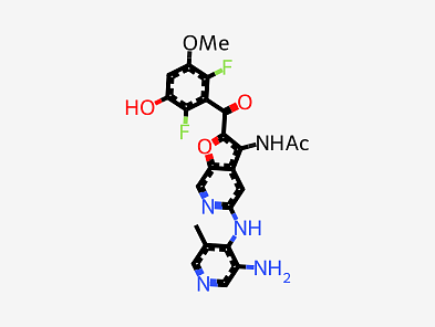 COc1cc(O)c(F)c(C(=O)c2oc3cnc(Nc4c(C)cncc4N)cc3c2NC(C)=O)c1F